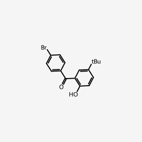 CC(C)(C)c1ccc(O)c(C(=O)c2ccc(Br)cc2)c1